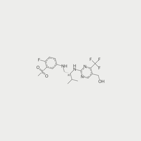 CC(C)[C@H](CNc1ccc(F)c(S(C)(=O)=O)c1)Nc1ncc(CO)c(C(F)(F)F)n1